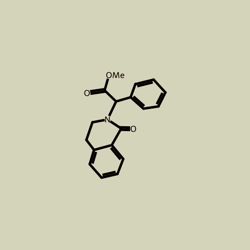 COC(=O)C(c1ccccc1)N1CCc2ccccc2C1=O